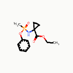 CCOC(=O)C1(NP(C)(=O)Oc2ccccc2)CC1